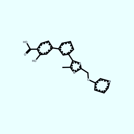 Cc1nc(COc2cccnc2)sc1-c1cccc(-c2ccc(C(=O)O)c(O)c2)c1